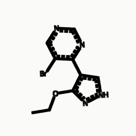 CCOc1n[nH]cc1-c1ncncc1Br